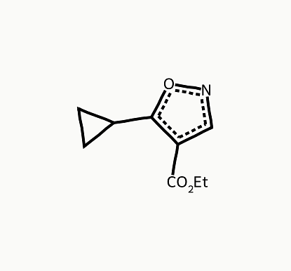 CCOC(=O)c1cnoc1C1CC1